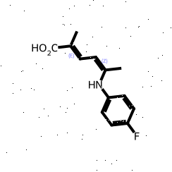 C/C(=C/C=C(\C)C(=O)O)Nc1ccc(F)cc1